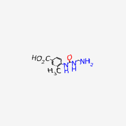 Cc1cc(C(=O)O)ccc1NC(=O)NCN